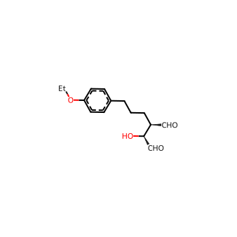 CCOc1ccc(CCC[C@@H](C=O)[C@H](O)C=O)cc1